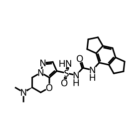 CN(C)[C@@H]1COc2c(S(=N)(=O)NC(=O)Nc3c4c(cc5c3CCC5)CCC4)cnn2C1